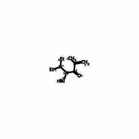 C=C(C)C(=O)N(CCCC)N(CC)CC